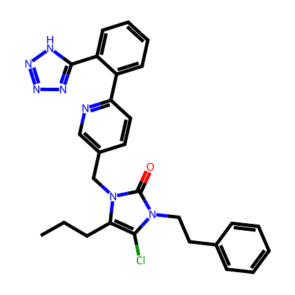 CCCc1c(Cl)n(CCc2ccccc2)c(=O)n1Cc1ccc(-c2ccccc2-c2nnn[nH]2)nc1